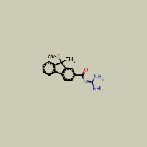 COC1(C)c2ccccc2-c2ccc(C(=O)N=C(N)N)cc21